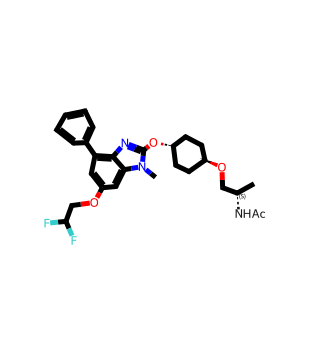 CC(=O)N[C@@H](C)CO[C@H]1CC[C@H](Oc2nc3c(-c4ccccc4)cc(OCC(F)F)cc3n2C)CC1